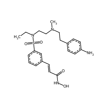 CCN(CCN(C)CCc1ccc(N)cc1)S(=O)(=O)c1cccc(/C=C/C(=O)NO)c1